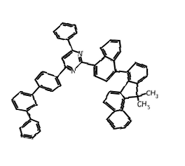 CC1(C)c2cccc(-c3ccc(-c4nc(-c5ccccc5)cc(-c5ccc(-c6cccc(-c7ccccc7)c6)cc5)n4)c4ccccc34)c2-c2ccc3ccccc3c21